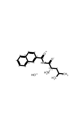 CC(C)C[C@H](N)C(=O)NC(=O)c1ccc2ccccc2c1.Cl